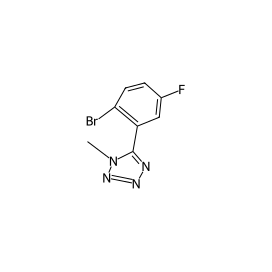 Cn1nnnc1-c1cc(F)ccc1Br